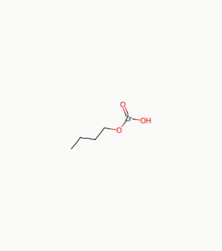 CCCC[O][Zr](=[O])[OH]